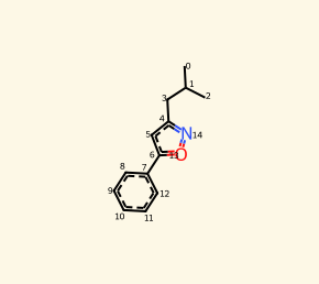 CC(C)Cc1cc(-c2ccccc2)on1